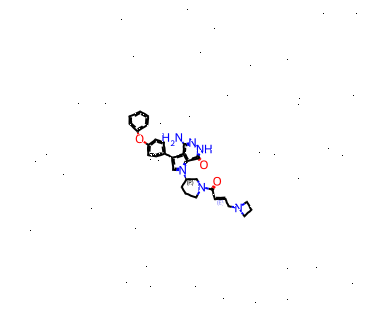 Nc1n[nH]c(=O)c2c1c(-c1ccc(Oc3ccccc3)cc1)cn2[C@@H]1CCCN(C(=O)/C=C/CN2CCC2)C1